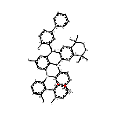 Cc1cc2c3c(c1)N(c1cccc(C)c1-c1ccccc1C)c1cc(C(C)(C)C)ccc1B3c1cc3c(cc1N2c1cc(-c2ccccc2)ccc1C)C(C)(C)CCC3(C)C